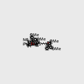 CCC(CCCCCSc1ncnc2c1ncn2[C@H]1C[C@H](OP(OCCC#N)N(C(C)C)C(C)C)[C@@H](COC(c2ccccc2)(c2ccc(OC)cc2)c2ccc(OC)cc2)O1)OC(c1ccccc1)(c1ccc(OC)cc1)c1ccc(OC)cc1